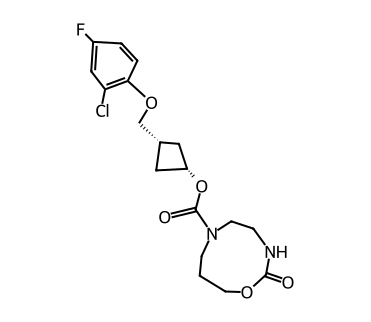 O=C1NCCN(C(=O)O[C@H]2C[C@@H](COc3ccc(F)cc3Cl)C2)CCCO1